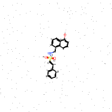 [O]c1cccc2c(CNS(=O)(=O)C=Cc3ccccc3)cccc12